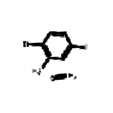 C=O.CCc1ccc(F)cc1C